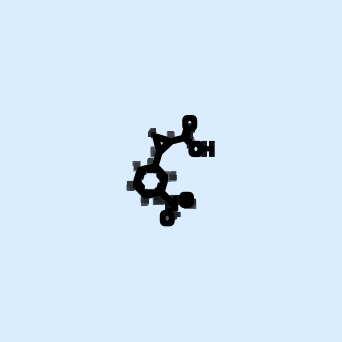 O=C(O)C1CC1c1cccc([N+](=O)[O-])c1